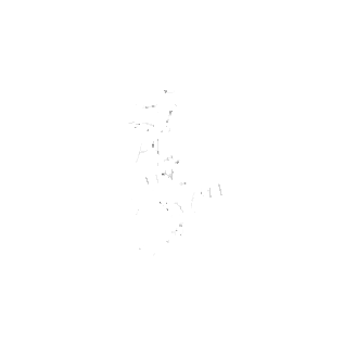 CC(C)CN(c1c(C#N)cc(O)cc1NC(=O)Nc1ccc(Cl)cc1F)C1CCCCC1